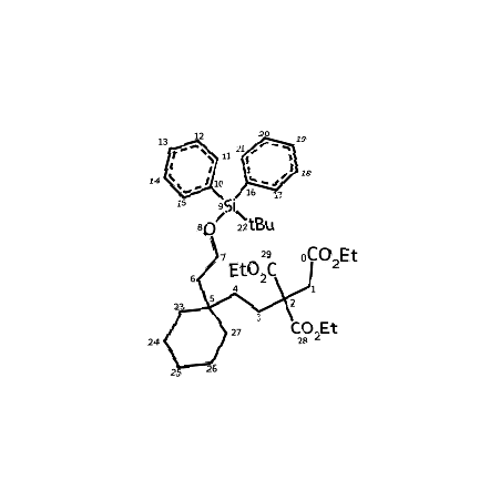 CCOC(=O)CC(CCC1(CCO[Si](c2ccccc2)(c2ccccc2)C(C)(C)C)CCCCC1)(C(=O)OCC)C(=O)OCC